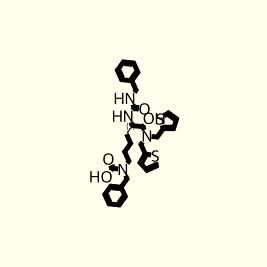 O=C(NCc1ccccc1)N[C@@H](CCCCN(Cc1ccccc1)C(=O)O)C(O)N(Cc1cccs1)Cc1cccs1